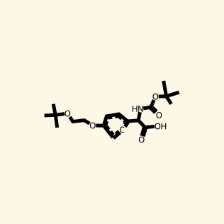 CC(C)(C)OCCOc1ccc(C(NC(=O)OC(C)(C)C)C(=O)O)cc1